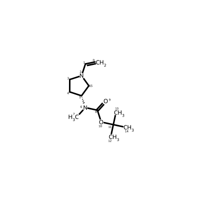 C=CN1CC[C@@H](N(C)C(=O)OC(C)(C)C)C1